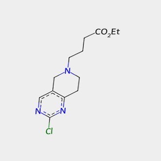 CCOC(=O)CCCN1CCc2nc(Cl)ncc2C1